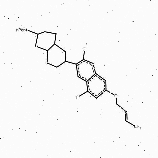 C/C=C/COc1cc(F)c2cc(C3CCC4CC(CCCCC)CCC4C3)c(F)cc2c1